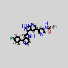 CCCC(=O)Nc1cncc(-c2cnc3[nH]nc(-c4cc5c(-c6ccc(F)cc6)nccc5[nH]4)c3c2)c1